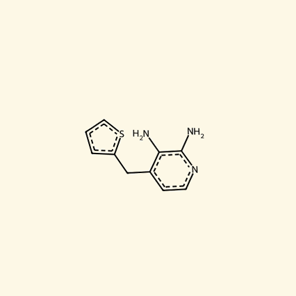 Nc1nccc(Cc2cccs2)c1N